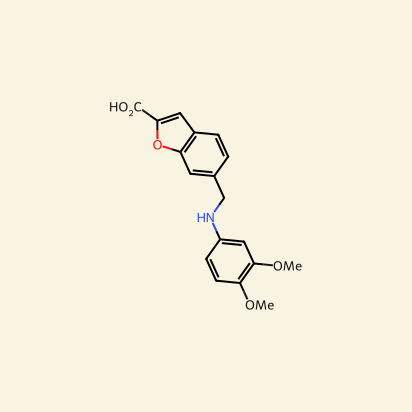 COc1ccc(NCc2ccc3cc(C(=O)O)oc3c2)cc1OC